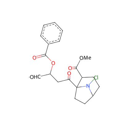 COC(=O)C1CCC2CCC1(C(=O)CC([C]=O)OC(=O)c1ccccc1)N2Cl